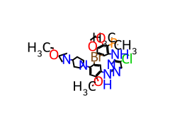 CCOC1CN(C2CCN(c3cc(OC)c(Nc4ncc(Cl)c(Nc5ccc6c(c5P(C)C)OCCO6)n4)cc3Br)CC2)C1